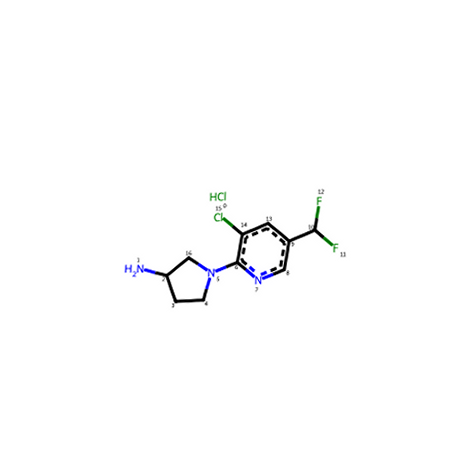 Cl.NC1CCN(c2ncc(C(F)F)cc2Cl)C1